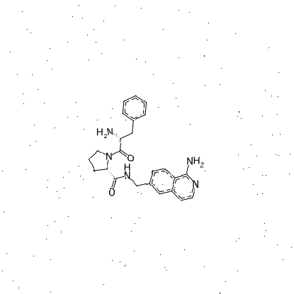 Nc1nccc2cc(CNC(=O)[C@@H]3CCCN3C(=O)[C@H](N)Cc3ccccc3)ccc12